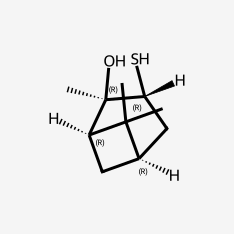 CC1(C)[C@H]2C[C@@H](S)[C@](C)(O)[C@@H]1C2